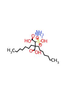 CCCCCCCC(CCCCCCC)(C(=O)O)C(C(=O)O)S(=O)(=O)O.N.N